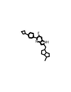 CC1CCC2C(Cc3cc4nc(-c5ccc(C6CCC6)cc5)c(F)cc4[nH]3)CCC12